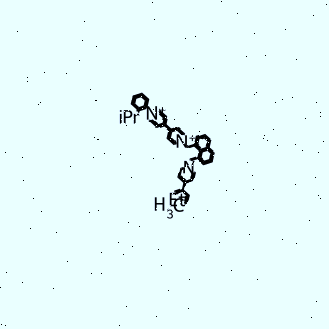 C/C=C\C(=C/CC)C1=CCN(Cc2cccc3cccc(C[n+]4ccc(-c5cc[n+](-c6ccccc6C(C)C)cc5)cc4)c23)C=C1